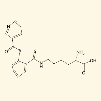 N[C@@H](CCCCNC(=S)c1ccccc1SC(=O)c1cccnc1)C(=O)O